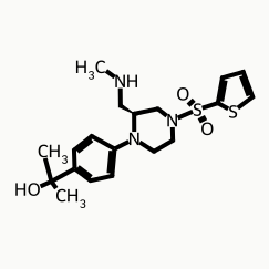 CNC[C@H]1CN(S(=O)(=O)c2cccs2)CCN1c1ccc(C(C)(C)O)cc1